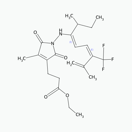 C=C(C)/C(=C\C=C(\NN1C(=O)C(C)=C(CCC(=O)OCC)C1=O)C(C)CC)C(F)(F)F